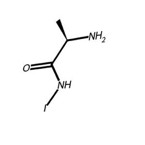 C[C@@H](N)C(=O)NI